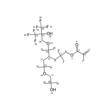 C=C(C)C(=O)OCC(C)(C)CC(CC(C)(C)OCC(C)(C)O)C(C)(C)OCC(O)(C(F)(F)F)C(F)(F)F